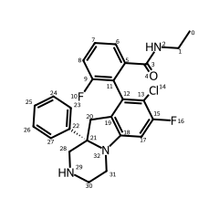 CCNC(=O)c1cccc(F)c1-c1c(Cl)c(F)cc2c1C[C@]1(c3ccccc3)CNCCN21